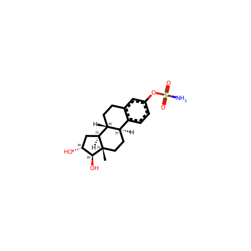 C[C@]12CC[C@@H]3c4ccc(OS(N)(=O)=O)cc4CC[C@H]3[C@@H]1C[C@@H](O)[C@@H]2O